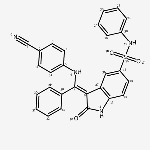 N#Cc1ccc(NC(=C2C(=O)Nc3ccc(S(=O)(=O)Nc4ccccc4)cc32)c2ccccc2)cc1